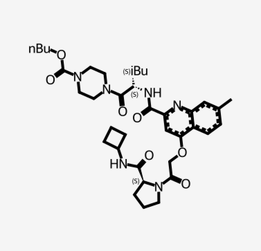 CCCCOC(=O)N1CCN(C(=O)[C@@H](NC(=O)c2cc(OCC(=O)N3CCC[C@H]3C(=O)NC3CCC3)c3ccc(C)cc3n2)[C@@H](C)CC)CC1